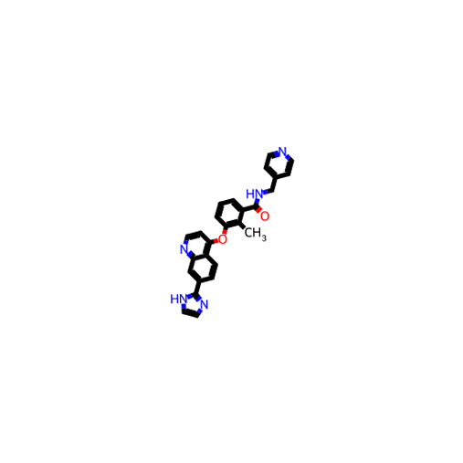 Cc1c(Oc2ccnc3cc(-c4ncc[nH]4)ccc23)cccc1C(=O)NCc1ccncc1